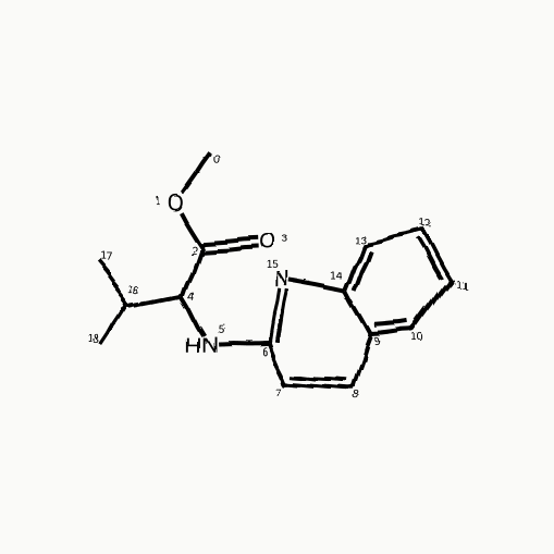 COC(=O)C(Nc1ccc2ccccc2n1)C(C)C